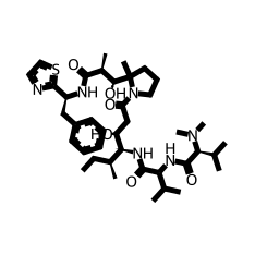 CC[C@H](C)[C@H](NC(=O)C(NC(=O)[C@H](C(C)C)N(C)C)C(C)C)[C@H](O)CC(=O)N1CCCC1(C)[C@H](O)[C@H](C)C(=O)N[C@@H](Cc1ccccc1)c1nccs1